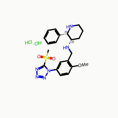 COc1ccc(-n2nnnc2S(C)(=O)=O)cc1CN[C@H]1CCCN[C@H]1c1ccccc1.Cl.Cl